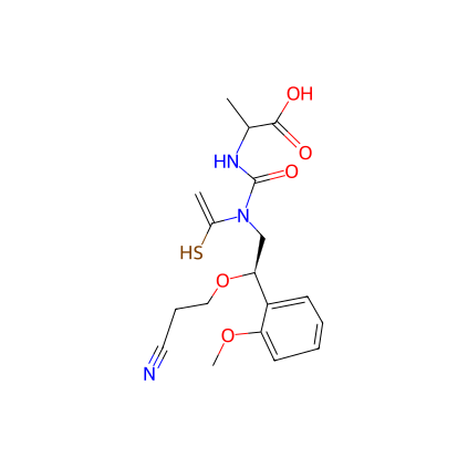 C=C(S)N(C[C@H](OCCC#N)c1ccccc1OC)C(=O)NC(C)C(=O)O